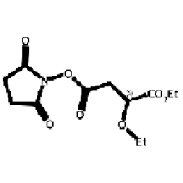 CCOC(=O)[C@H](CC(=O)ON1C(=O)CCC1=O)OCC